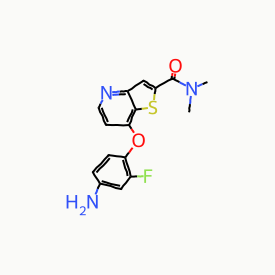 CN(C)C(=O)c1cc2nccc(Oc3ccc(N)cc3F)c2s1